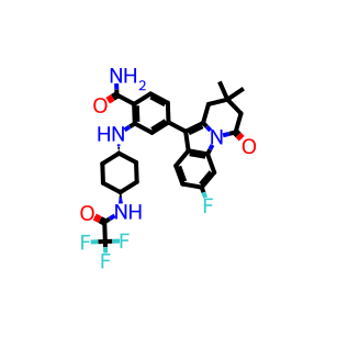 CC1(C)CC(=O)n2c(c(-c3ccc(C(N)=O)c(N[C@H]4CC[C@H](NC(=O)C(F)(F)F)CC4)c3)c3ccc(F)cc32)C1